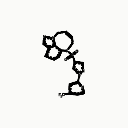 O=S(=O)(c1cnn(-c2cc(C(F)(F)F)ccn2)c1)N1C/C=C\Cn2ncc3cccc1c32